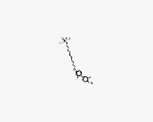 CCCc1ccc(-c2ccc(OCCCCCCCCCCCP(=O)(O)O)cc2F)cc1F